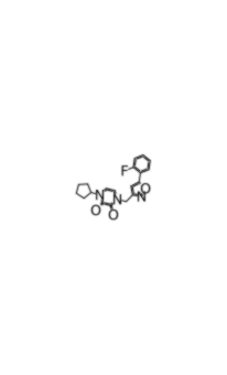 O=c1c(=O)n(C2CCCC2)ccn1Cc1cc(-c2ccccc2F)on1